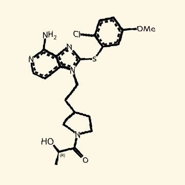 COc1ccc(Cl)c(Sc2nc3c(N)nccc3n2CCC2CCN(C(=O)[C@@H](C)O)C2)c1